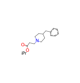 CC(C)OC(=O)CCN1CCC(Cc2ccccc2)CC1